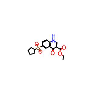 CCOC(=O)c1c[nH]c2ccc(S(=O)(=O)C3CCCC3)cc2c1=O